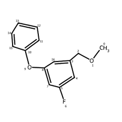 COCc1cc(F)cc(Oc2ccccc2)c1